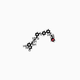 O=C(NCc1cccc(-c2ccc(OCc3cccc(C(=O)NCCNC[C@H](O)c4ccc(O)c5[nH]c(=O)ccc45)c3)cc2)c1)O[C@H]1CN2CCC1CC2